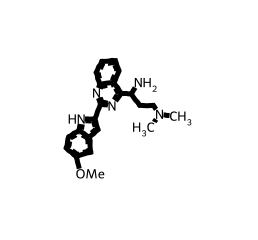 COc1ccc2[nH]c(-c3nc(C(N)CCN(C)C)c4ccccc4n3)cc2c1